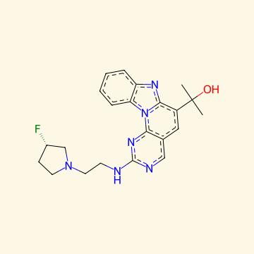 CC(C)(O)c1cc2cnc(NCCN3CC[C@H](F)C3)nc2n2c1nc1ccccc12